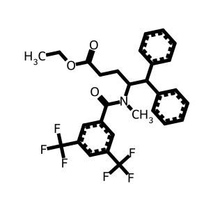 CCOC(=O)CCC(C(c1ccccc1)c1ccccc1)N(C)C(=O)c1cc(C(F)(F)F)cc(C(F)(F)F)c1